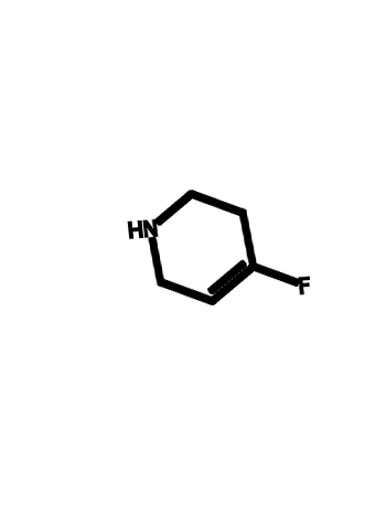 FC1=CCNCC1